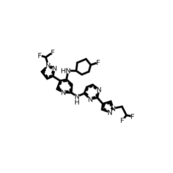 FC(F)Cn1cc(-c2nccc(Nc3cc(NC4CCC(F)CC4)c(-c4ccn(C(F)F)n4)cn3)n2)cn1